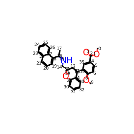 COC(=O)c1ccc(OC)c([C@@H]2C[C@H](CNC(C)c3cccc4ccccc34)Oc3ccccc32)c1